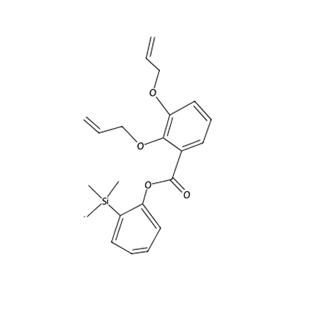 [CH2][Si](C)(C)c1ccccc1OC(=O)c1cccc(OCC=C)c1OCC=C